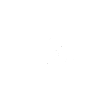 CC(C)OC(=O)CCC/C=C\C[C@@H]1[C@@H](CCC2(CCc3ccccc3)OCCO2)[C@H](OC2CCCCO2)C[C@@H]1OC1CCCCO1